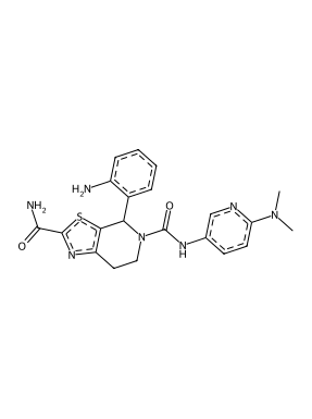 CN(C)c1ccc(NC(=O)N2CCc3nc(C(N)=O)sc3C2c2ccccc2N)cn1